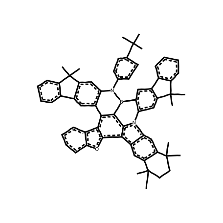 CC(C)(C)c1ccc(N2B3c4cc5c(cc4-n4c6cc7c(cc6c6c8oc9ccccc9c8c(c3c64)-c3cc4c(cc32)C(C)(C)c2ccccc2-4)C(C)(C)CCC7(C)C)C(C)(C)c2ccccc2-5)cc1